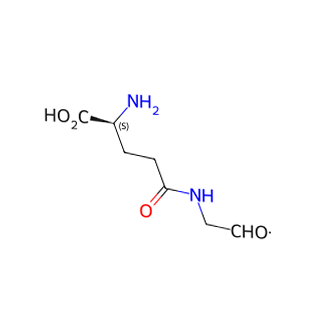 N[C@@H](CCC(=O)NC[C]=O)C(=O)O